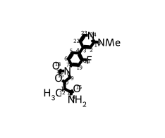 CNc1cc(-c2ccc(N3CC([C@H](C)C(N)=O)OC3=O)cc2F)ccn1